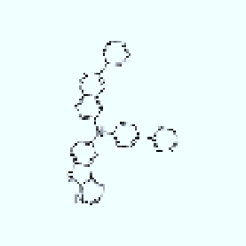 c1ccc(-c2ccc(N(c3ccc4ccc(-c5ccccc5)cc4c3)c3ccc4sc5ncccc5c4c3)cc2)cc1